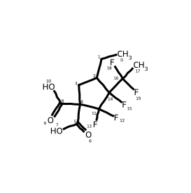 CCC1CC(C(=O)O)(C(=O)O)C(F)(F)C1(F)C(C)(F)F